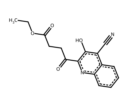 CCOC(=O)CCC(=O)c1nc2ccccc2c(C#N)c1O